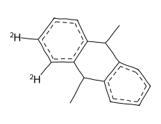 [2H]c1ccc2c(c1[2H])C(C)c1ccccc1C2C